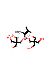 CC(C)=C(C(=O)O)C(C)(C)C.OCC(CO)(CO)CO.OCC(CO)(CO)CO